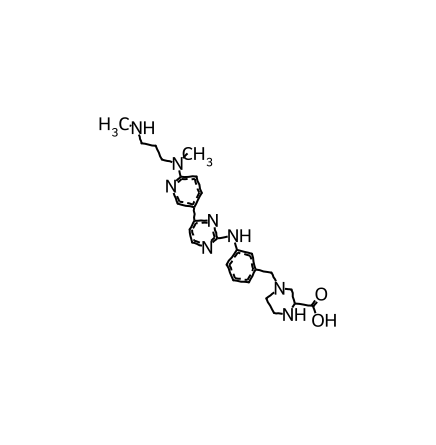 CNCCCN(C)c1ccc(-c2ccnc(Nc3cccc(CN4CCNC(C(=O)O)C4)c3)n2)cn1